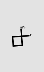 CC[CH]C1(F)CCC1